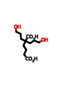 O=C(O)CCCC(CCCO)(CCCO)C(=O)O